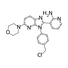 Nc1ncccc1-c1nc2ccc(N3CCOCC3)nc2n1-c1ccc(CCl)cc1